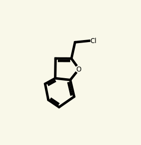 ClCc1cc2ccccc2o1